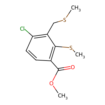 COC(=O)c1ccc(Cl)c(CSC)c1SC